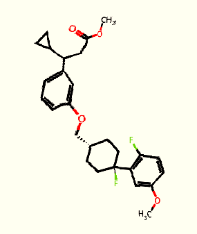 COC(=O)CC(c1cccc(OC[C@H]2CC[C@@](F)(c3cc(OC)ccc3F)CC2)c1)C1CC1